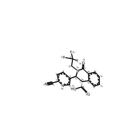 N#Cc1ccc(C2[C@@H](C(=O)O)c3ccccc3C(=O)N2CC(F)(F)F)cn1